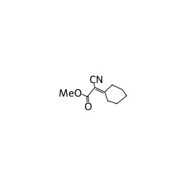 COC(=O)C(C#N)=C1CCCCC1